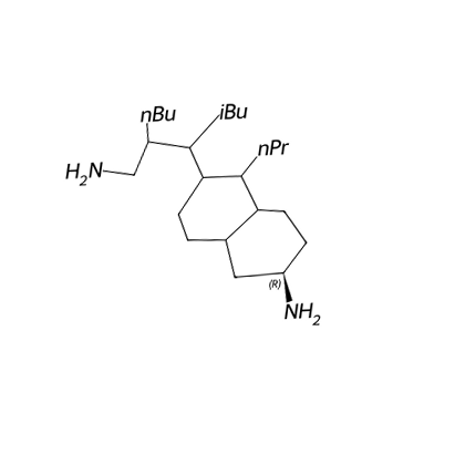 CCCCC(CN)C(C(C)CC)C1CCC2C[C@H](N)CCC2C1CCC